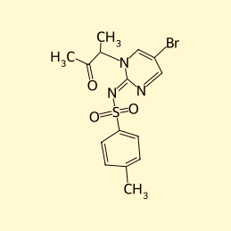 CC(=O)C(C)n1cc(Br)cn/c1=N\S(=O)(=O)c1ccc(C)cc1